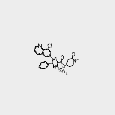 CN1CCC(OC(=O)c2nc(-c3cc(Cl)c4ncccc4c3)c(-c3ccccc3)nc2N)CC1=O